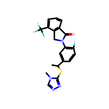 CC(Sc1nncn1C)c1ccc(F)c(N2Cc3c(cccc3C(F)(F)F)C2=O)c1